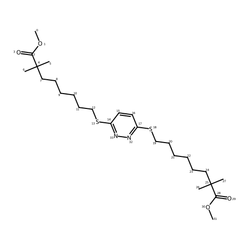 COC(=O)C(C)(C)CCCCCCSc1ccc(SCCCCCCC(C)(C)C(=O)OC)nn1